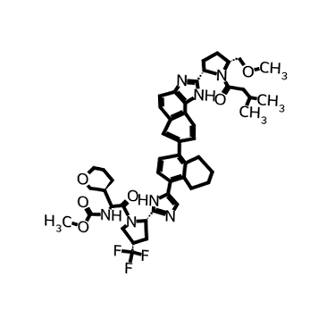 COC[C@H]1CC[C@@H](c2nc3ccc4cc(-c5ccc(-c6cnc([C@@H]7C[C@H](C(F)(F)F)CN7C(=O)[C@@H](NC(=O)OC)[C@@H]7CCCOC7)[nH]6)c6c5CCCC6)ccc4c3[nH]2)N1C(=O)CC(C)C